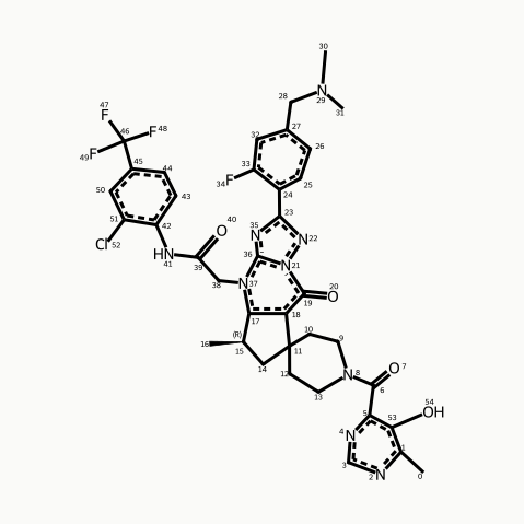 Cc1ncnc(C(=O)N2CCC3(CC2)C[C@@H](C)c2c3c(=O)n3nc(-c4ccc(CN(C)C)cc4F)nc3n2CC(=O)Nc2ccc(C(F)(F)F)cc2Cl)c1O